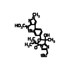 CN(C)S(=O)(=O)n1cc(CC(C)(C)C)nc1C(C)(O)Cc1ccc(-c2cn(C)nc2N(C(=O)O)C(C)(C)C)cc1